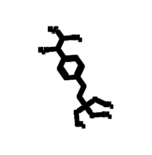 CO[Si](CCc1ccc(C(N)C(C)N)cc1)(OC)OC